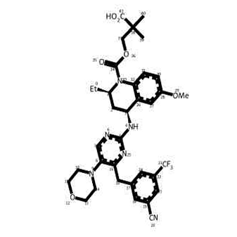 CC[C@@H]1C[C@H](Nc2ncc(N3CCOCC3)c(Cc3cc(C#N)cc(C(F)(F)F)c3)n2)c2cc(OC)ccc2N1C(=O)OCC(C)(C)C(=O)O